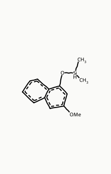 COc1cc(O[SiH](C)C)c2ccccc2c1